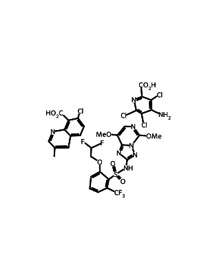 COc1cnc(OC)n2nc(NS(=O)(=O)c3c(OCC(F)F)cccc3C(F)(F)F)nc12.Cc1cnc2c(C(=O)O)c(Cl)ccc2c1.Nc1c(Cl)c(Cl)nc(C(=O)O)c1Cl